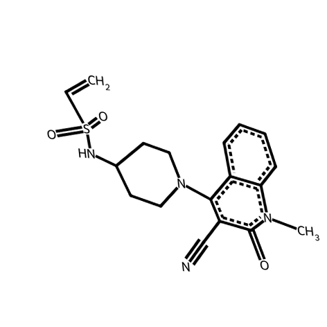 C=CS(=O)(=O)NC1CCN(c2c(C#N)c(=O)n(C)c3ccccc23)CC1